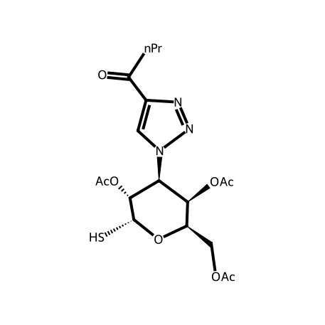 CCCC(=O)c1cn([C@@H]2[C@@H](OC(C)=O)[C@@H](S)O[C@H](COC(C)=O)[C@@H]2OC(C)=O)nn1